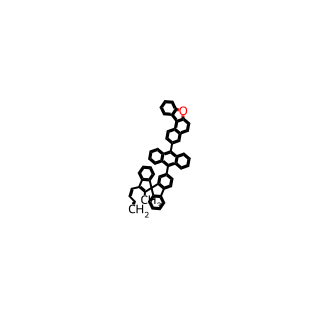 C=C/C=C\C1=C(C)C2(c3ccccc31)c1ccccc1-c1ccc(-c3c4ccccc4c(-c4ccc5c(ccc6oc7ccccc7c65)c4)c4ccccc34)cc12